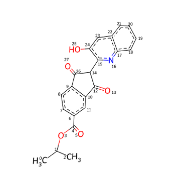 CC(C)OC(=O)c1ccc2c(c1)C(=O)C(c1nc3ccccc3cc1O)C2=O